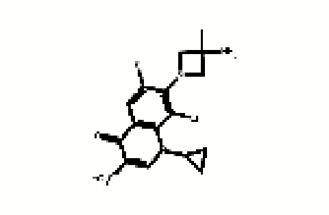 CC1(N)CN(c2c(F)cc3c(=O)c(C(=O)O)cn(C4CC4)c3c2Cl)C1